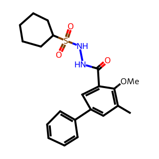 COc1c(C)cc(-c2ccccc2)cc1C(=O)NNS(=O)(=O)C1CCCCC1